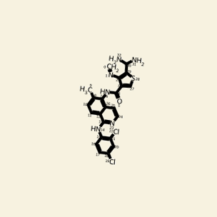 C=Nc1c(C(=O)Nc2c(C)ccc3c(Nc4ccc(Cl)cc4Cl)nccc23)csc1C(N)N